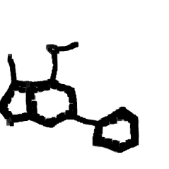 COc1cc(-c2ccccc2)cc2ncc(I)n12